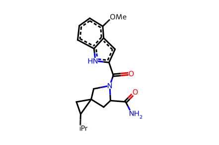 COc1cccc2[nH]c(C(=O)N3CC4(CC3C(N)=O)CC4C(C)C)cc12